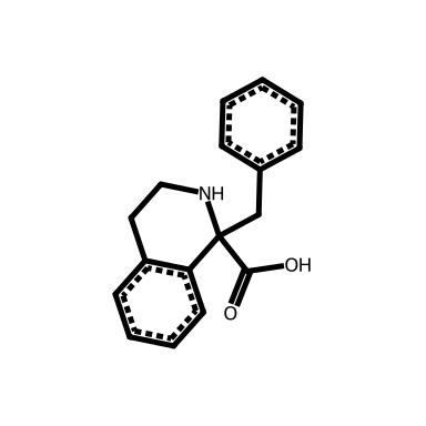 O=C(O)C1(Cc2ccccc2)NCCc2ccccc21